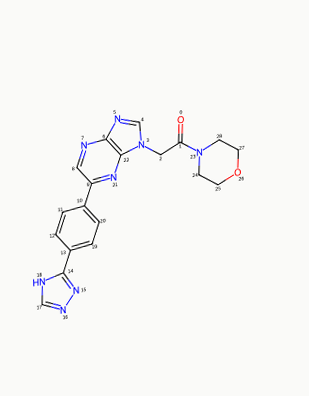 O=C(Cn1cnc2ncc(-c3ccc(-c4nnc[nH]4)cc3)nc21)N1CCOCC1